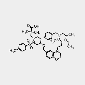 CCOC(C)COCc1ccc([C@H]2C[C@H](CC(C)(C)C(=O)O)N(S(=O)(=O)c3ccc(C)cc3)C[C@@H]2OCc2ccc3c(c2)N(CCCOC)CCO3)cc1